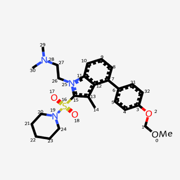 COCOc1ccc(-c2cccc3c2c(C)c(S(=O)(=O)N2CCCCC2)n3CCN(C)C)cc1